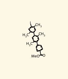 COC(=O)c1ccc(-c2cc(C)c(-c3cc(C)c(I)cc3C)cc2C)cc1